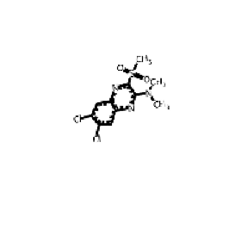 CN(C)c1nc2cc(Cl)c(Cl)cc2nc1S(C)(=O)=O